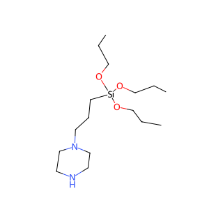 CCCO[Si](CCCN1CCNCC1)(OCCC)OCCC